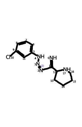 N=C(/N=N\Nc1cccc(Cl)c1)C1CCCCN1